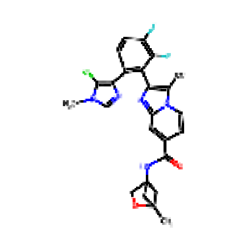 Cn1cnc(-c2ccc(F)c(F)c2-c2nc3cc(C(=O)NC45COC(C)(C4)C5)ccn3c2C#N)c1Cl